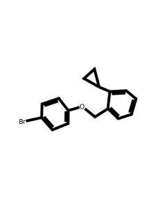 Brc1ccc(OCc2ccccc2C2CC2)cc1